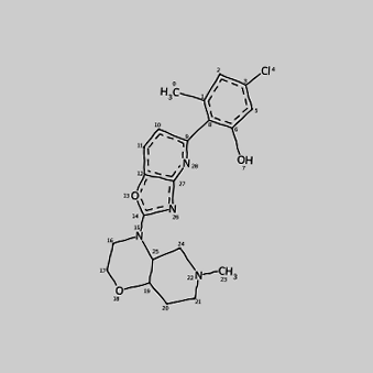 Cc1cc(Cl)cc(O)c1-c1ccc2oc(N3CCOC4CCN(C)CC43)nc2n1